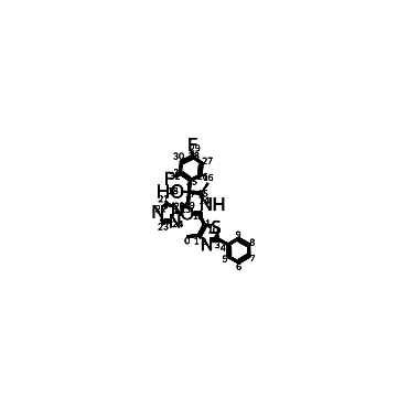 Cc1nc(-c2ccccc2)sc1C(=O)N[C@H](C)[C@](O)(Cn1cncn1)c1ccc(F)cc1F